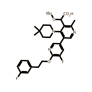 Cc1ncc(-c2cnc(OCCc3cccc(F)c3)c(F)c2)c(N2CCC(C)(C)CC2)c1C(OC(C)(C)C)C(=O)O